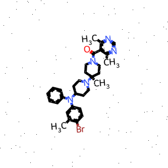 Cc1cc(N(c2ccccc2)C2CCN(C3(C)CCN(C(=O)c4c(C)ncnc4C)CC3)CC2)ccc1Br